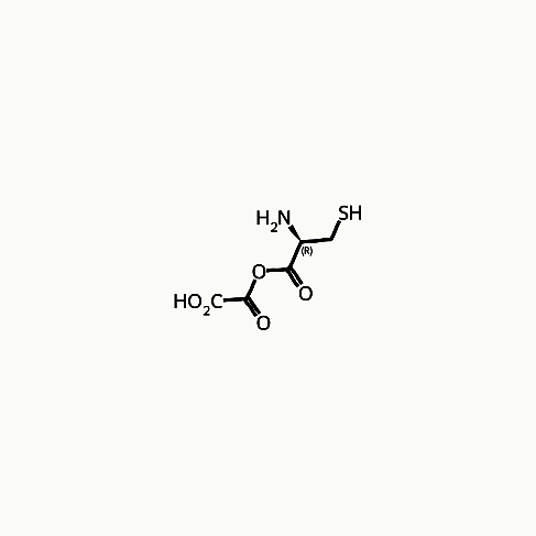 N[C@@H](CS)C(=O)OC(=O)C(=O)O